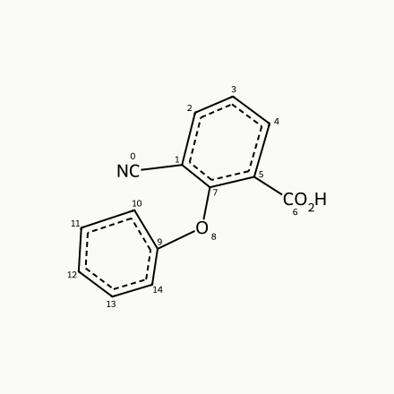 N#Cc1cccc(C(=O)O)c1Oc1ccccc1